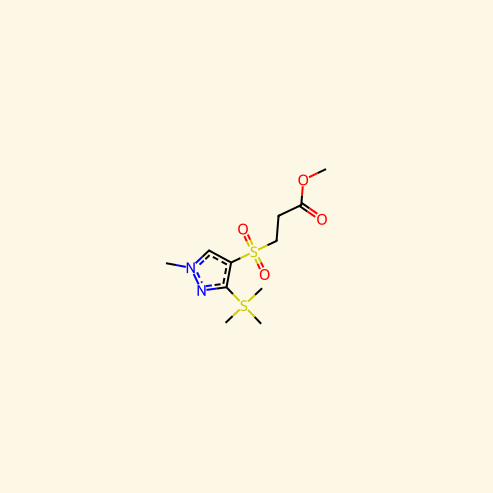 COC(=O)CCS(=O)(=O)c1cn(C)nc1S(C)(C)C